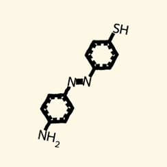 Nc1ccc(N=Nc2ccc(S)cc2)cc1